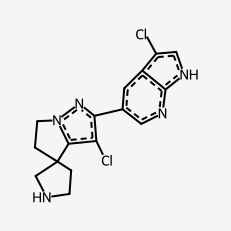 Clc1c(-c2cnc3[nH]cc(Cl)c3c2)nn2c1C1(CCNC1)CC2